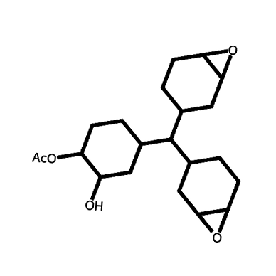 CC(=O)OC1CCC(C(C2CCC3OC3C2)C2CCC3OC3C2)CC1O